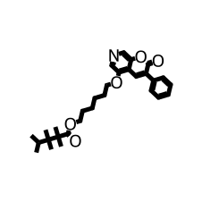 CC(C)C(C)(C)C(C)(C)C(=O)OCCCCCCOc1cncc2oc(=O)c(-c3ccccc3)cc12